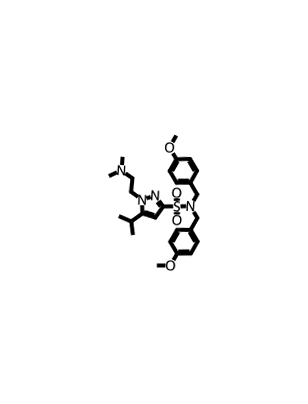 COc1ccc(CN(Cc2ccc(OC)cc2)S(=O)(=O)c2cc(C(C)C)n(CCN(C)C)n2)cc1